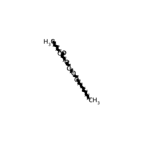 CCCCCCCCCCCOCCOCCOCCOCCCC(=O)OCCCCCC